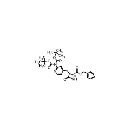 CC(C)(C)OC(=O)N(C(=O)OC(C)(C)C)c1cc(CC2C(=O)N[C@@H]2C(=O)OCc2ccccc2)ccn1